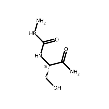 NBC(=O)N[C@@H](CO)C(N)=O